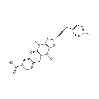 Cc1ccc(CC#Cc2cc3c(=O)n(Cc4ccc(C(=O)O)cc4)c(=O)n(C)c3s2)cc1